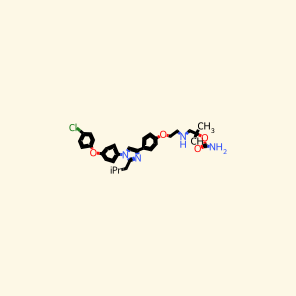 CC(C)Cc1nc(-c2ccc(OCCNCC(C)(C)OC(N)=O)cc2)cn1-c1ccc(Oc2ccc(Cl)cc2)cc1